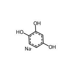 Oc1ccc(O)c(O)c1.[Na]